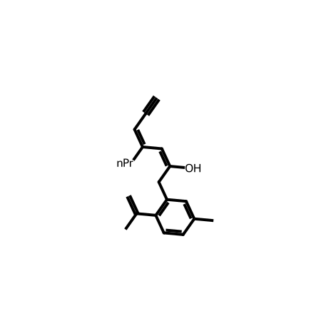 C#C/C=C(\C=C(\O)Cc1cc(C)ccc1C(=C)C)CCC